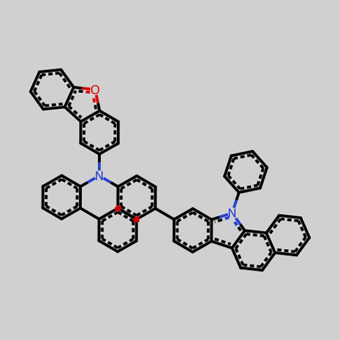 c1ccc(-c2ccccc2N(c2ccc(-c3ccc4c5ccc6ccccc6c5n(-c5ccccc5)c4c3)cc2)c2ccc3oc4ccccc4c3c2)cc1